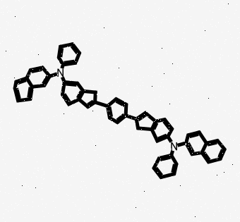 C1=C(c2ccc(C3=Cc4ccc(N(c5ccccc5)c5ccc6ccccc6c5)cc4C3)cc2)Cc2cc(N(c3ccccc3)c3ccc4ccccc4c3)ccc21